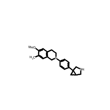 COc1cc2c(cc1C)CN(c1ccc(C34CNCC3C4)cc1)CC2